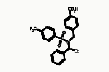 CC[C@@H](c1ccccc1)N(Cc1ccc(C(=O)O)cc1)S(=O)(=O)c1ccc(C(F)(F)F)cc1